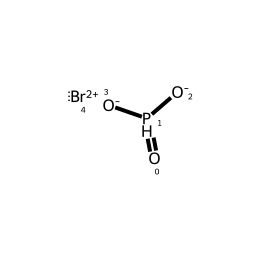 O=[PH]([O-])[O-].[Br+2]